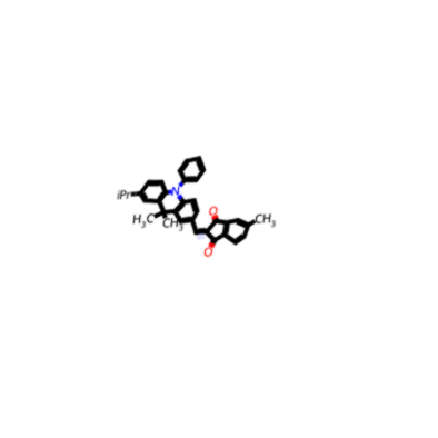 Cc1ccc2c(c1)C(=O)/C(=C\c1ccc3c(c1)C(C)(C)c1cc(C(C)C)ccc1N3c1ccccc1)C2=O